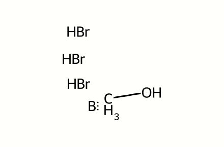 Br.Br.Br.CO.[B]